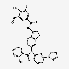 Nc1ncccc1-c1nc2ccc(-n3cccn3)nc2n1-c1ccc2c(c1)CC[C@@H]2NC(=O)c1cc(F)c(O)c(C=O)c1